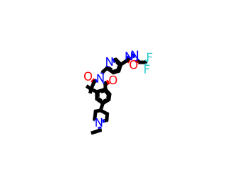 CCN1CCC(c2ccc3c(c2)C(C)(C)C(=O)N(Cc2ccc(-c4nnc(C(F)F)o4)cn2)C3=O)CC1